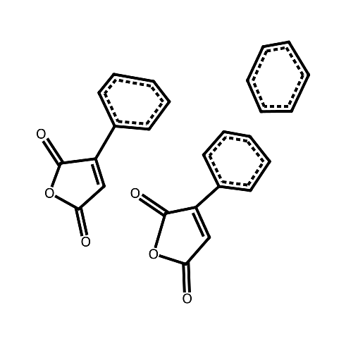 O=C1C=C(c2ccccc2)C(=O)O1.O=C1C=C(c2ccccc2)C(=O)O1.c1ccccc1